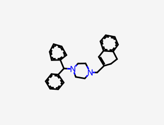 C1=C(CN2CCN(C(c3ccccc3)c3ccccc3)CC2)CCc2ccccc21